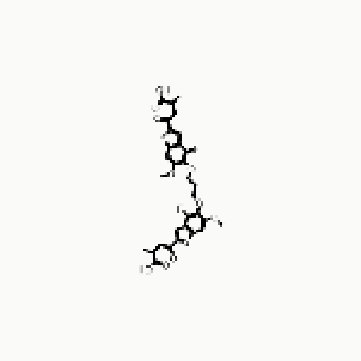 COc1cc2sc(C(=O)CC(C)C(=O)O)cc2c(F)c1OCCCOc1c(OC)cc2sc(C(=O)CC(C)C(=O)O)cc2c1F